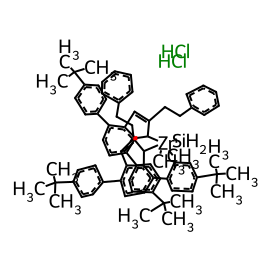 CC(C)(C)c1ccc(-c2ccc(-c3ccc(C(C)(C)C)cc3)c3c2C=C(CCc2ccccc2)[CH]3[Zr]([CH3])([CH3])(=[SiH2])[CH]2C(CCc3ccccc3)=Cc3c(-c4ccc(C(C)(C)C)cc4)ccc(-c4ccc(C(C)(C)C)cc4)c32)cc1.Cl.Cl